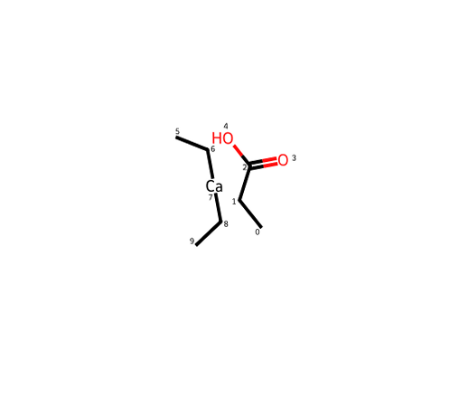 CCC(=O)O.C[CH2][Ca][CH2]C